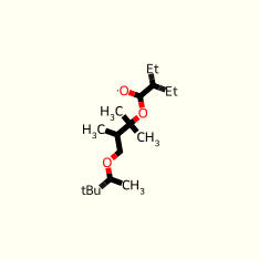 CCC(CC)C([O])OC(C)(C)C(C)COC(C)C(C)(C)C